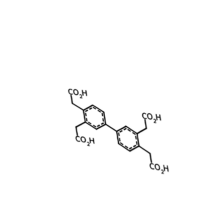 O=C(O)Cc1ccc(-c2ccc(CC(=O)O)c(CC(=O)O)c2)cc1CC(=O)O